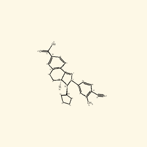 Cc1cc(N2N=C3c4ccc(C(=O)O)cc4CC[C@@H]3[C@@H]2C2CCCC2)ccc1C#N